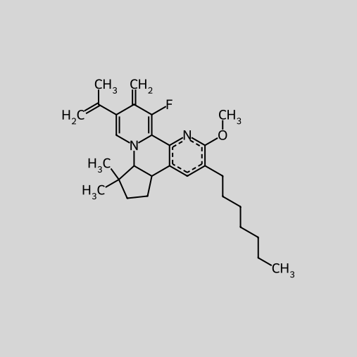 C=C(C)C1=CN2C(=C(F)C1=C)c1nc(OC)c(CCCCCCC)cc1C1CCC(C)(C)C12